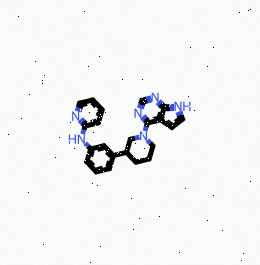 c1ccc(Nc2cccc(C3CCCN(c4ncnc5[nH]ccc45)C3)c2)nc1